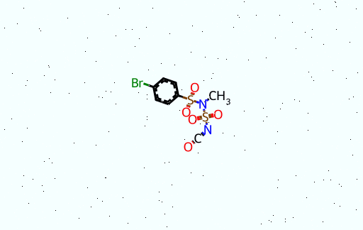 CN(S(=O)(=O)N=C=O)S(=O)(=O)c1ccc(Br)cc1